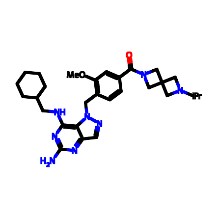 COc1cc(C(=O)N2CC3(C2)CN(C(C)C)C3)ccc1Cn1ncc2nc(N)nc(NCC3CCCCC3)c21